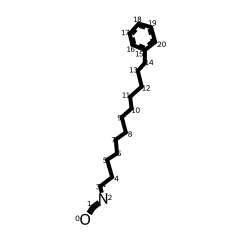 O=C=N[CH]CCCCCCCCCCCc1ccccc1